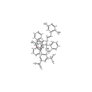 C[C@](C[C@@H](N=Cc1cc([N+](=O)[O-])cc([N+](=O)[O-])c1O)C(O)(c1ccccc1)c1ccccc1)(N=Cc1cc(Cl)ccc1O)C(O)(c1ccccc1)c1ccccc1